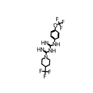 N=C(NC(=N)N1CCC(C(F)(F)F)CC1)Nc1ccc(OC(F)(F)F)cc1